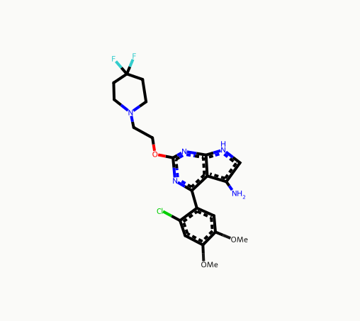 COc1cc(Cl)c(-c2nc(OCCN3CCC(F)(F)CC3)nc3[nH]cc(N)c23)cc1OC